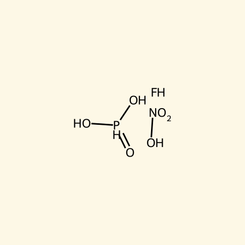 F.O=[N+]([O-])O.O=[PH](O)O